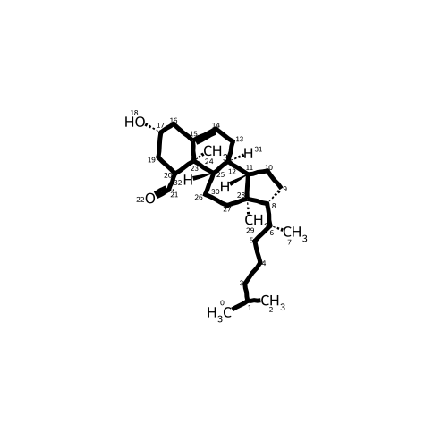 CC(C)CCC[C@@H](C)[C@H]1CC[C@H]2[C@@H]3CC=C4C[C@@H](O)CC([C]=O)[C@]4(C)[C@H]3CC[C@]12C